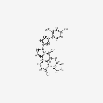 O=c1c2c(-c3noc(-c4ccc(F)cc4F)n3)ncn2c2ccc(Cl)cc2n1CC1CCCO1